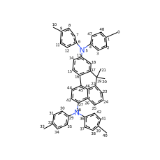 Cc1ccc(N(c2ccc(C)cc2)c2ccc3c(c2)C(C)(C)c2cccc4c(N(c5ccc(C)cc5)c5ccc(C)cc5)ccc-3c24)cc1